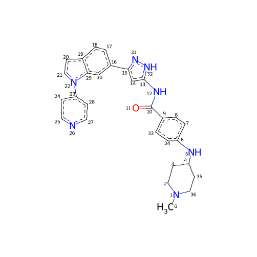 CN1CCC(Nc2ccc(C(=O)Nc3cc(-c4ccc5ccn(-c6ccncc6)c5c4)n[nH]3)cc2)CC1